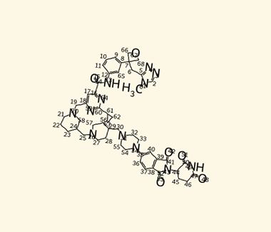 Cn1cnnc1CC1(c2cccc(NC(=O)c3cc(CN4CCCC(CN5CCC(CN6CCN(c7ccc8c(c7)C(=O)N(C7CCC(=O)NC7=O)C8=O)CC6)CC5)C4)nc(C4CC4)n3)c2)COC1